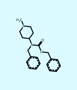 CN1CCC(N(Cc2ccccc2)C(=O)OCc2ccccc2)CC1